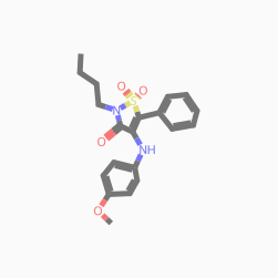 CCCCN1C(=O)C(Nc2ccc(OC)cc2)=C(c2ccccc2)S1(=O)=O